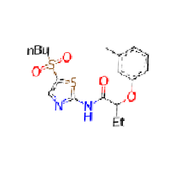 CCCCS(=O)(=O)c1cnc(NC(=O)C(CC)Oc2cccc(C)c2)s1